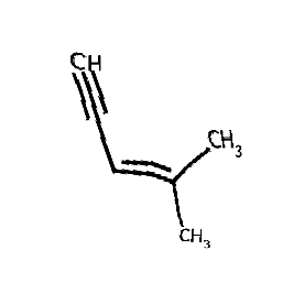 C#CC=C(C)C